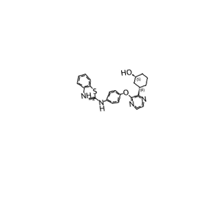 C=C(Nc1ccc(Oc2nccnc2[C@@H]2CCC[C@H](O)C2)cc1)Sc1ccccc1N